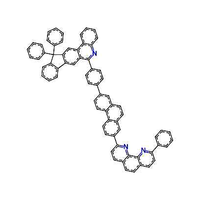 c1ccc(-c2ccc3ccc4ccc(-c5ccc6c(ccc7cc(-c8ccc(-c9nc%10ccccc%10c%10cc%11c(cc9%10)-c9ccccc9C%11(c9ccccc9)c9ccccc9)cc8)ccc76)c5)nc4c3n2)cc1